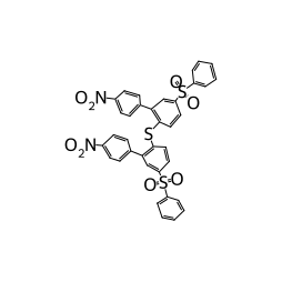 O=[N+]([O-])c1ccc(-c2cc(S(=O)(=O)c3ccccc3)ccc2Sc2ccc(S(=O)(=O)c3ccccc3)cc2-c2ccc([N+](=O)[O-])cc2)cc1